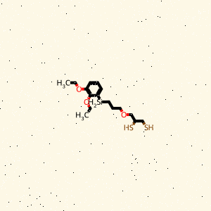 CCOc1cccc([SiH2]CCCOCC(S)CS)c1OCC